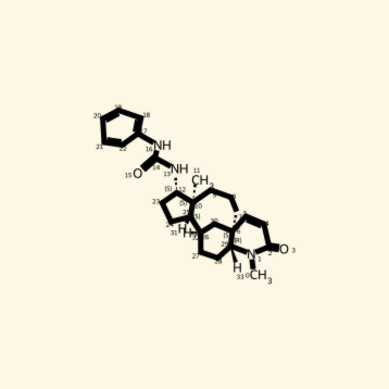 CN1C(=O)C=C[C@@]23CCC[C@]4(C)[C@@H](NC(=O)Nc5ccccc5)CC[C@H]4[C@H](CC[C@@H]12)C3